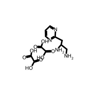 NCC(N)Cc1ncccn1.O=C(O)C(=O)O.O=C(O)C(=O)O